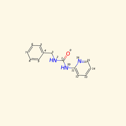 O=C(NCc1ccccc1)Nc1ccccn1